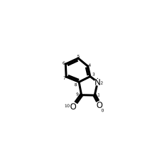 O=C1[N]c2ccccc2C1=O